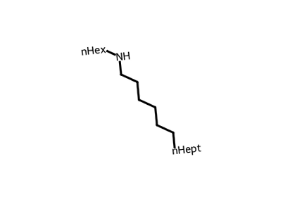 [CH2]CCCCCNCCCCCCCCCCCCC